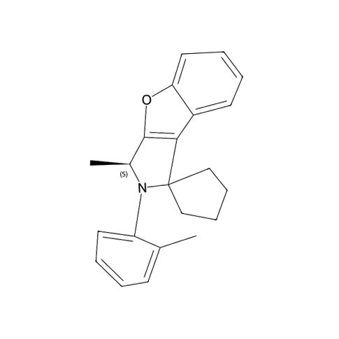 Cc1ccccc1N1[C@@H](C)c2oc3ccccc3c2C12CCCC2